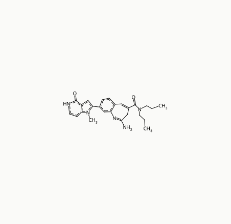 CCCN(CCC)C(=O)C1=Cc2ccc(-c3cc4c(=O)[nH]ccc4n3C)cc2N=C(N)C1